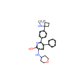 O=C(O)NC1(c2ccc(-c3nc(O)c(NC4CCOCC4)cc3-c3ccccc3)cc2)CCC1